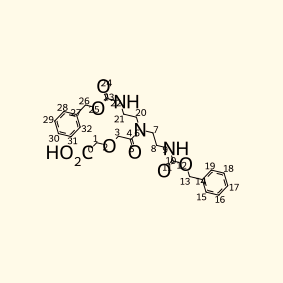 O=C(O)COCC(=O)N(CCNC(=O)OCc1ccccc1)CCNC(=O)OCc1ccccc1